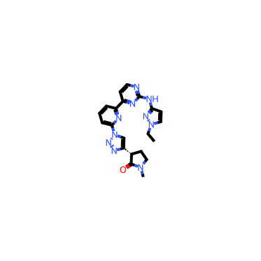 CCn1ccc(Nc2nccc(-c3cccc(-n4cc([C@@H]5CCN(C)C5=O)nn4)n3)n2)n1